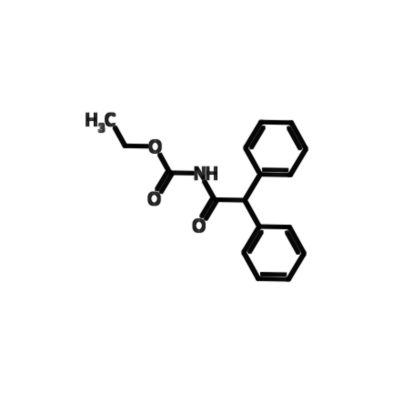 CCOC(=O)NC(=O)C(c1ccccc1)c1ccccc1